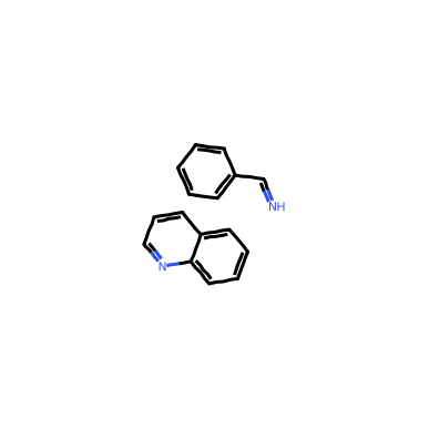 N=Cc1ccccc1.c1ccc2ncccc2c1